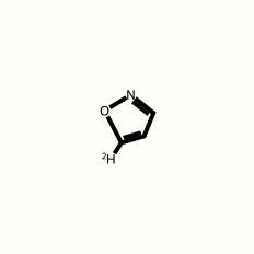 [2H]c1ccno1